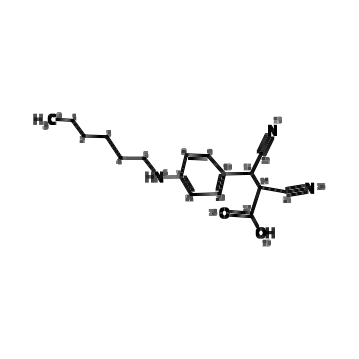 CCCCCCNc1ccc(C(C#N)C(C#N)C(=O)O)cc1